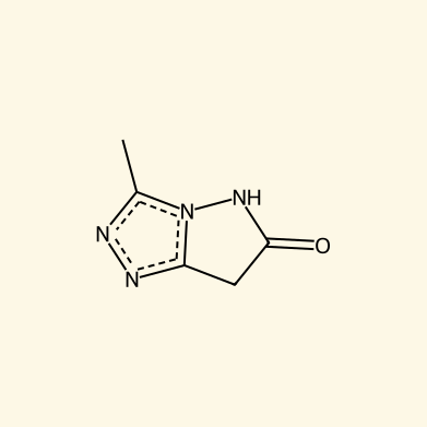 Cc1nnc2n1NC(=O)C2